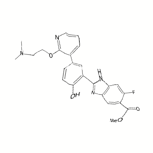 COC(=O)c1cc2nc(-c3cc(-c4cccnc4OCCN(C)C)ccc3O)[nH]c2cc1F